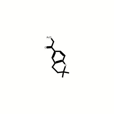 CC(=O)OCC(=O)c1ccc2c(c1)CCC(C)(C)S2